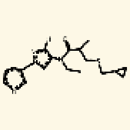 CCN(C(=O)C(C)CSCC1CC1)c1cn(-c2cccnc2)nc1Cl